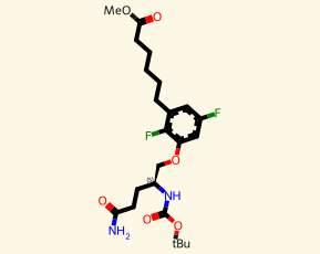 COC(=O)CCCCCc1cc(F)cc(OC[C@H](CCC(N)=O)NC(=O)OC(C)(C)C)c1F